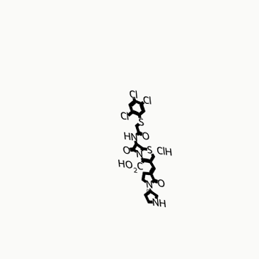 Cl.O=C(CSc1cc(Cl)c(Cl)cc1Cl)NC1C(=O)N2C(C(=O)O)=C(C=C3CCN([C@H]4CCNC4)C3=O)CSC12